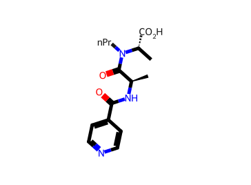 CCCN(C(=O)[C@@H](C)NC(=O)c1ccncc1)[C@@H](C)C(=O)O